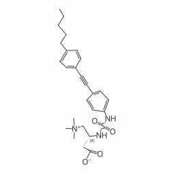 CCCCCc1ccc(C#Cc2ccc(NS(=O)(=O)N[C@H](CC(=O)[O-])C[N+](C)(C)C)cc2)cc1